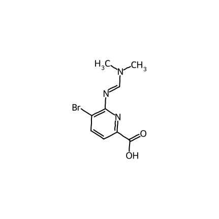 CN(C)C=Nc1nc(C(=O)O)ccc1Br